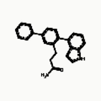 NC(=O)CCc1cc(-c2ccccc2)ccc1-c1cccc2[nH]ccc12